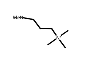 CNCCC[N+](C)(C)C